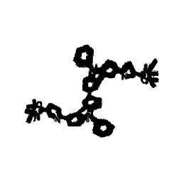 CC1(C)N=C(c2ccc(-c3ccc4c(c3)c3cc(-c5ccc6c(c5)c5cc(-c7ccc(C8=NC(C)(C)C(C)(C)O8)cn7)ccc5n6-c5ccccc5)ccc3n4-c3ccccc3)nc2)OC1(C)C